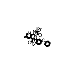 Cc1cnc(C2=NC(C)(C(C)C)C(=O)N2)c(C(=O)C(=O)N(C)c2ccc(Oc3ccccc3)cc2)c1